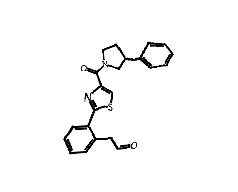 O=CCc1ccccc1-c1nc(C(=O)N2CCC(c3ccccc3)C2)cs1